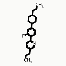 CCCc1ccc(-c2ccc(C3CCC(CCC)CC3)cc2F)nc1